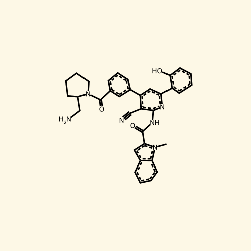 Cn1c(C(=O)Nc2nc(-c3ccccc3O)cc(-c3cccc(C(=O)N4CCCCC4CN)c3)c2C#N)cc2ccccc21